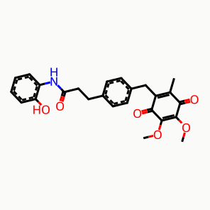 COC1=C(OC)C(=O)C(Cc2ccc(CCC(=O)Nc3ccccc3O)cc2)=C(C)C1=O